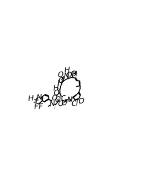 COc1cc2cc(c1Cl)N(C)C(=O)CC(OC(=O)[C@H](C)N(C)C(=O)c1ccc(N)c(C(F)(F)F)c1)[C@]1(C)O[C@H]1[C@H](C)[C@@H]1C[C@@](O)(NC(=O)O1)[C@H](OC)/C=C/C=C(\C)C2